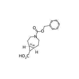 O=C(O)C1[C@H]2CCN(C(=O)OCc3ccccc3)CC[C@@H]12